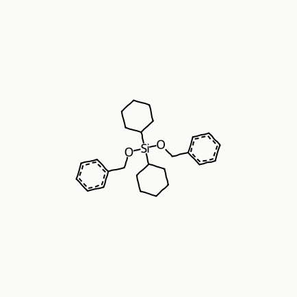 c1ccc(CO[Si](OCc2ccccc2)(C2CCCCC2)C2CCCCC2)cc1